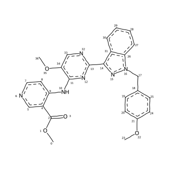 COC(=O)c1cnccc1Nc1nc(-c2nn(Cc3ccc(OC)cc3)c3ccccc23)ncc1OC